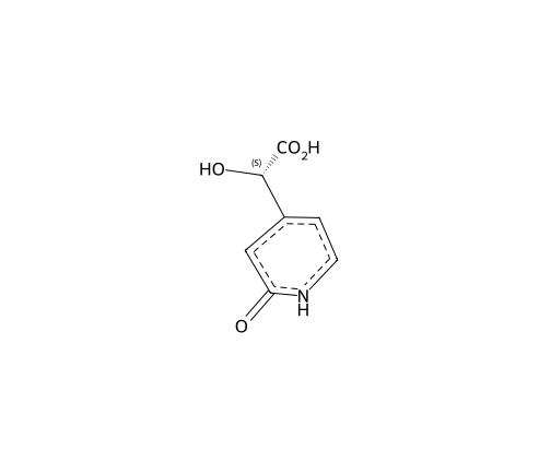 O=C(O)[C@@H](O)c1cc[nH]c(=O)c1